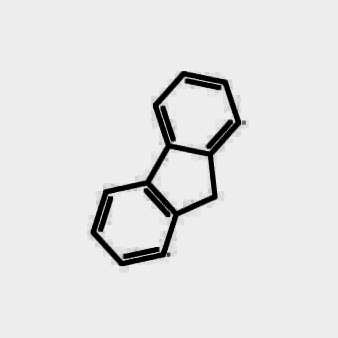 [c]1cccc2c1Cc1[c]cccc1-2